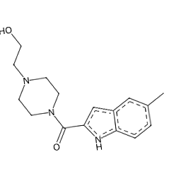 Cc1ccc2[nH]c(C(=O)N3CCN(CCO)CC3)cc2c1